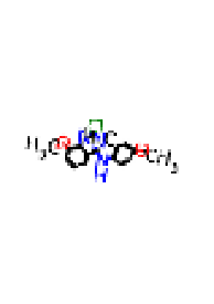 COc1ccc(Nc2nc(Cl)nc3c(OC)cccc23)c(C)c1